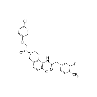 O=C(Cc1ccc(C(F)(F)F)c(F)c1)Nc1c(Cl)ccc2c1CCN(C(=O)COc1ccc(Cl)cc1)C2